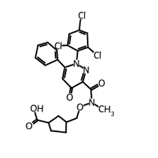 CN(OCC1CCC(C(=O)O)C1)C(=O)c1nn(-c2c(Cl)cc(Cl)cc2Cl)c(-c2ccccc2)cc1=O